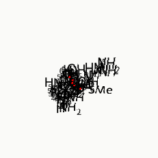 CSCC[C@H](NC(=O)[C@@H](N)CCCNC(=N)N)C(=O)N[C@@H](Cc1ccccc1)C(=O)N1CCC[C@H]1C(=O)N[C@@H](CC(N)=O)C(=O)N[C@@H](C)C(=O)N1CCC[C@H]1C(=O)N[C@@H](Cc1ccc(O)cc1)C(=O)N[C@@H](CC(C)C)C(=O)O